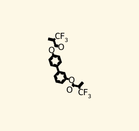 C=C(C(=O)Oc1ccc(-c2cccc(OC(=O)C(=C)C(F)(F)F)c2)cc1)C(F)(F)F